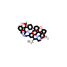 C=N/C=C\C(=C(/C)c1ccc(N2c3ccccc3C3(c4ccccc4Oc4ccccc43)c3ccccc32)c(C#N)c1)N1c2ccccc2C2(c3ccccc3Oc3ccccc32)c2ccccc21